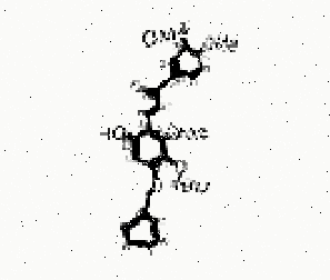 CCCCOc1c(OCc2ccccc2)cc(O)c(C=CC(=O)c2ccc(OC)c(OC)c2)c1OC